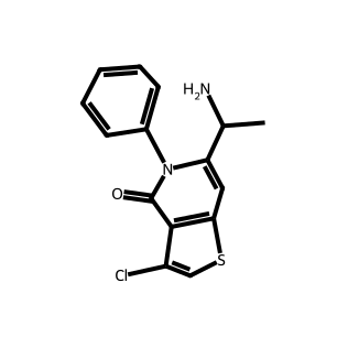 CC(N)c1cc2scc(Cl)c2c(=O)n1-c1ccccc1